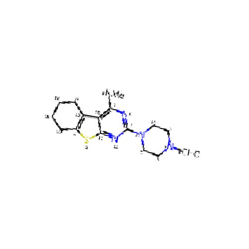 CNc1nc(N2CCN(C=O)CC2)nc2sc3c(c12)CCCC3